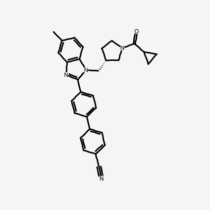 Cc1ccc2c(c1)nc(-c1ccc(-c3ccc(C#N)cc3)cc1)n2C[C@@H]1CCN(C(=O)C2CC2)C1